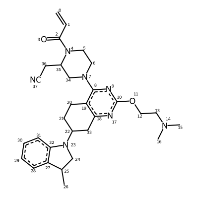 C=CC(=O)N1CCN(c2nc(OCCN(C)C)nc3c2CCC(N2CC(C)c4ccccc42)C3)CC1CC#N